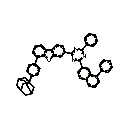 c1ccc(-c2nc(-c3ccc4c(c3)oc3c(-c5ccc(C67CC8CC(CC(C8)C6)C7)cc5)cccc34)nc(-c3ccc4cccc(-c5ccccc5)c4c3)n2)cc1